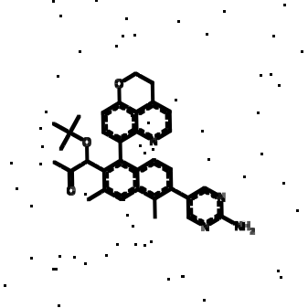 CC(=O)C(OC(C)(C)C)c1c(C)cc2c(C)c(-c3cnc(N)nc3)ccc2c1-c1ccc2c3c(ccnc13)CCO2